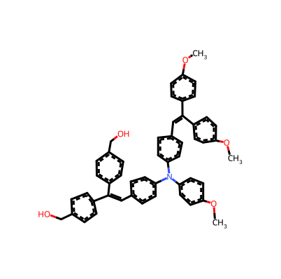 COc1ccc(C(=Cc2ccc(N(c3ccc(C=C(c4ccc(CO)cc4)c4ccc(CO)cc4)cc3)c3ccc(OC)cc3)cc2)c2ccc(OC)cc2)cc1